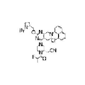 C=C(F)C(=O)N1CCN(c2nc(OCC3CCN3C(C)C)nc3c2CCN(c2cccc4cccc(Cl)c24)C3)C[C@@H]1CC#N